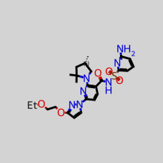 CCOCCOc1ccn(-c2ccc(C(=O)NS(=O)(=O)c3cccc(N)n3)c(N3C[C@@H](C)CC3(C)C)n2)n1